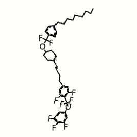 CCCCCCCCCc1ccc(C(F)(F)OC2CCC(/C=C/CCc3cc(F)c(C(F)(F)Oc4cc(F)c(F)c(F)c4)c(F)c3)CC2)cc1